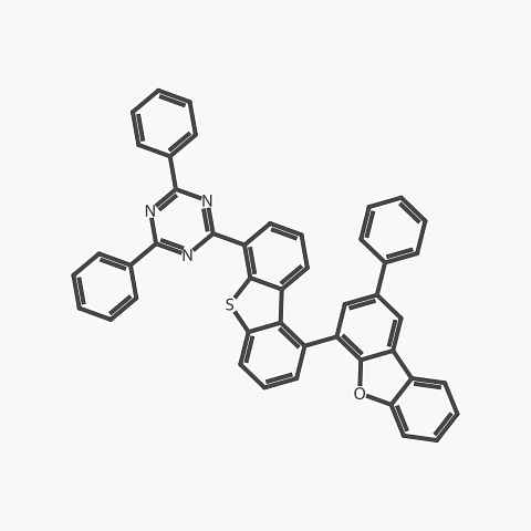 c1ccc(-c2cc(-c3cccc4sc5c(-c6nc(-c7ccccc7)nc(-c7ccccc7)n6)cccc5c34)c3oc4ccccc4c3c2)cc1